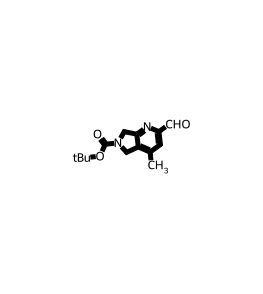 Cc1cc(C=O)nc2c1CN(C(=O)OC(C)(C)C)C2